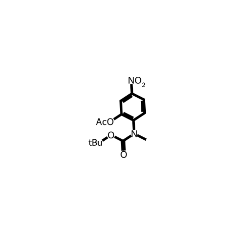 CC(=O)Oc1cc([N+](=O)[O-])ccc1N(C)C(=O)OC(C)(C)C